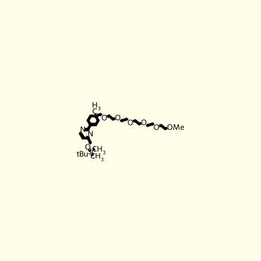 COCCOCCOCCOCCOCCOC[C@@]1(C)CC=C(c2nccc(CO[Si](C)(C)C(C)(C)C)n2)CC1